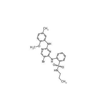 CCCNS(=O)(=O)c1ccccc1Nc1nc(Nc2cc(C)ccc2OC)ncc1Br